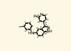 Cc1cccc(Nc2ccc3[nH]nc(-c4ccnc(F)c4)c3c2)c1